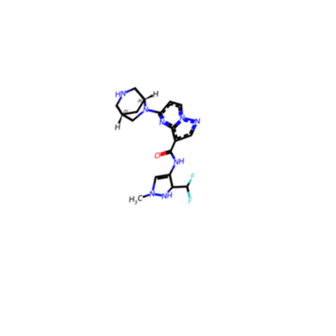 CN1C=C(NC(=O)c2cnn3ccc(N4C[C@@H]5CNC[C@H]4C5)nc23)C(C(F)F)N1